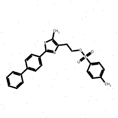 Cc1ccc(S(=O)(=O)OCCc2nc(-c3ccc(-c4ccccc4)cc3)sc2C)cc1